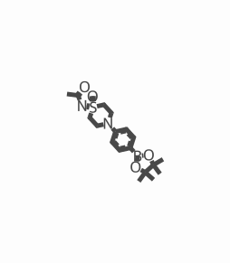 CC(=O)N=S1(=O)CCN(c2ccc(B3OC(C)(C)C(C)(C)O3)cc2)CC1